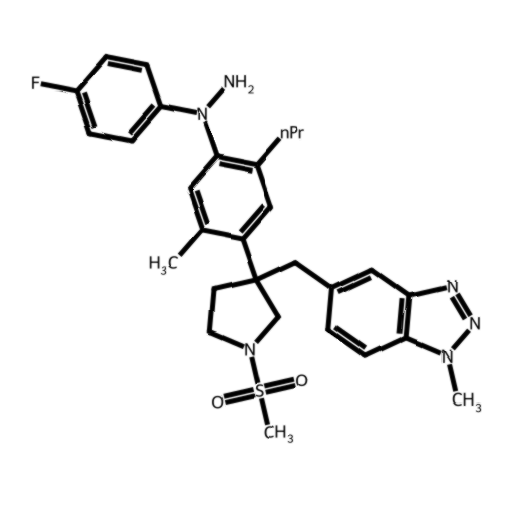 CCCc1cc(C2(Cc3ccc4c(c3)nnn4C)CCN(S(C)(=O)=O)C2)c(C)cc1N(N)c1ccc(F)cc1